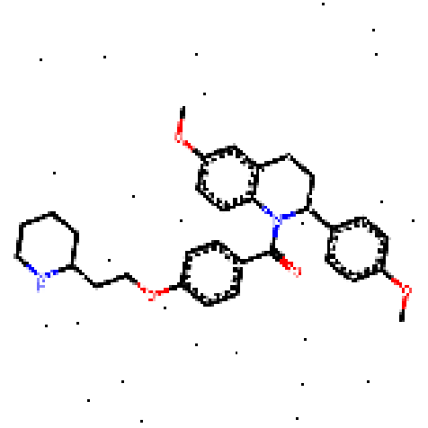 COc1ccc(C2CCc3cc(OC)ccc3N2C(=O)c2ccc(OCCC3CCCCN3)cc2)cc1